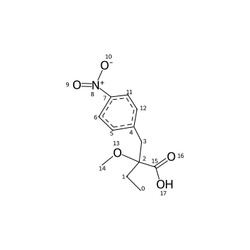 CCC(Cc1ccc([N+](=O)[O-])cc1)(OC)C(=O)O